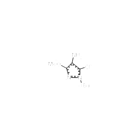 COc1nn(C(C)(C)C)c(Cl)c1N